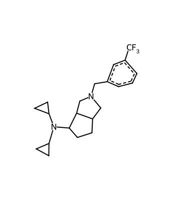 FC(F)(F)c1cccc(CN2CC3CCC(N(C4CC4)C4CC4)C3C2)c1